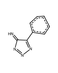 N=C1N=NN=C1c1ccccc1